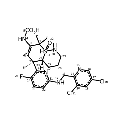 CC1(C)C(NC(=O)O)=N[C@](C)(c2nc(NCc3ncc(Cl)cc3Cl)ccc2F)[C@H]2CCCN[SH]21=O